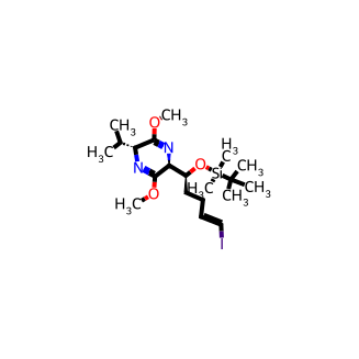 COC1=N[C@H](C(C)C)C(OC)=N[C@H]1[C@H](CC/C=C/I)O[Si](C)(C)C(C)(C)C